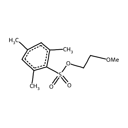 COCCOS(=O)(=O)c1c(C)cc(C)cc1C